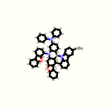 CCCCc1ccc2c(c1)c1cccc3c1n2B1c2ccc(N(c4ccccc4)c4ccccc4)cc2N(c2cccc4c2oc2ccccc24)c2cc4oc5ccccc5c4c-3c21